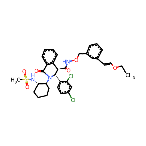 CCO/C=C/c1cccc(CONC(=O)[C@@H]2c3ccccc3C(=O)N([C@H]3CCCC[C@@H]3NS(C)(=O)=O)[C@H]2c2ccc(Cl)cc2Cl)c1